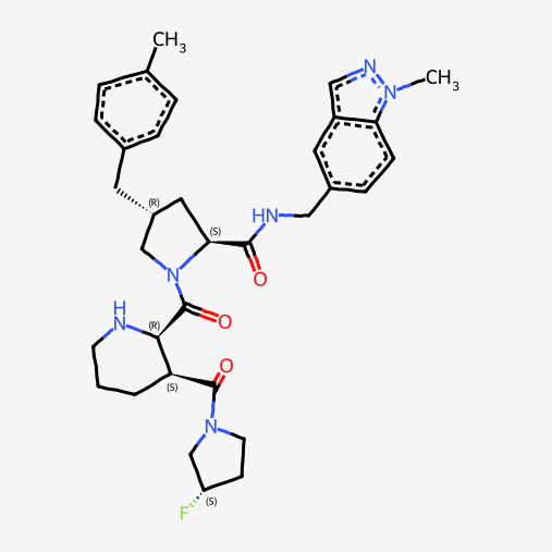 Cc1ccc(C[C@@H]2C[C@@H](C(=O)NCc3ccc4c(cnn4C)c3)N(C(=O)[C@@H]3NCCC[C@@H]3C(=O)N3CC[C@H](F)C3)C2)cc1